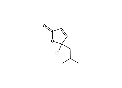 CC(C)CC1(O)C=CC(=O)O1